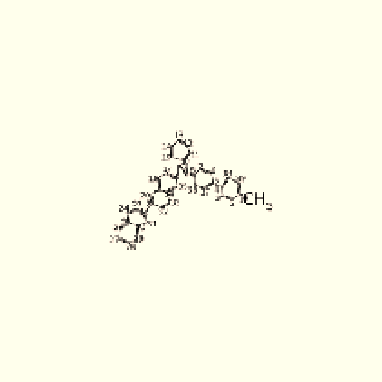 Cc1ccc(-c2ccc(N(c3ccccc3)c3ccc4cc(-c5ccc6ccccc6c5)ccc4c3)cc2)cc1